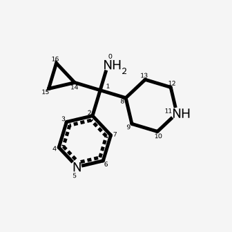 NC(c1ccncc1)(C1CCNCC1)C1CC1